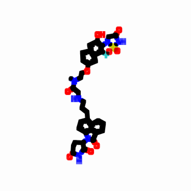 CN(CCOc1ccc2cc(O)c(N3CC(=O)NS3(=O)=O)c(F)c2c1)C(=O)CNCCCc1ccc2c3c(cccc13)C(=O)N2C1CCC(=O)NC1=O